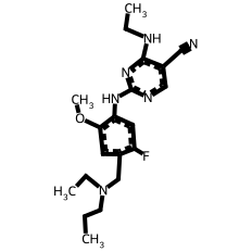 CCCN(CC)Cc1cc(OC)c(Nc2ncc(C#N)c(NCC)n2)cc1F